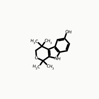 CC1(C)COC(C)(C)c2[nH]c3ccc(O)cc3c21